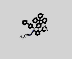 C=C/C=C\C=C(/c1cccc(-c2cncnc2)c1)N(c1ccc(-c2ccccc2)cc1)c1ccc2c(c1)C(c1ccccc1)(c1ccccc1)c1ccccc1-2